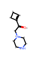 O=C(CN1CCNCC1)C1=CCC1